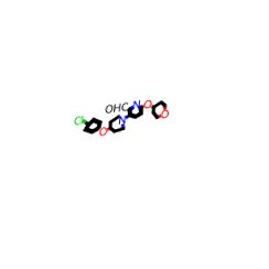 O=Cc1nc(OC2CCOCC2)ccc1N1CCC(Oc2ccc(Cl)cc2)CC1